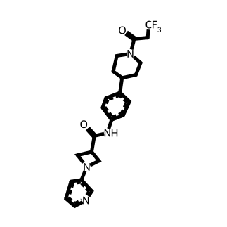 O=C(Nc1ccc(C2CCN(C(=O)CC(F)(F)F)CC2)cc1)C1CN(c2cccnc2)C1